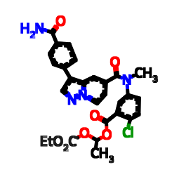 CCOC(=O)OC(C)OC(=O)c1cc(N(C)C(=O)c2ccn3ncc(-c4ccc(C(N)=O)cc4)c3c2)ccc1Cl